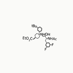 CCOC(=O)C=C1CCC(NC[C@@H](O)[C@H](Cc2cc(F)cc(F)c2)NC(C)=O)(c2cccc(C(C)(C)C)c2)CC1